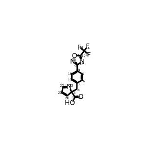 O=C(O)C1(Cc2ccc(-c3noc(C(F)(F)F)n3)cc2)C=CC=N1